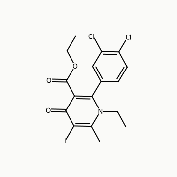 CCOC(=O)c1c(-c2ccc(Cl)c(Cl)c2)n(CC)c(C)c(I)c1=O